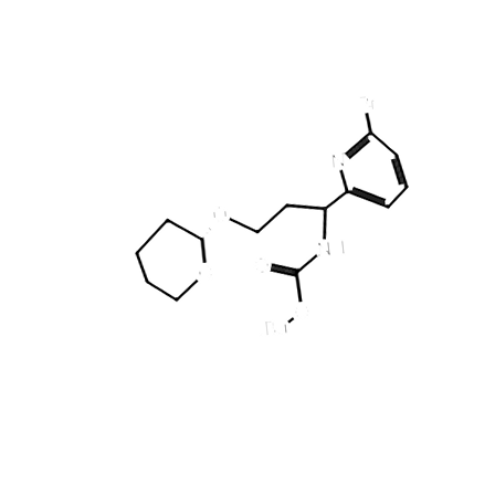 CC(C)(C)OC(=O)NC(CCO[C@H]1CCCCO1)c1cccc(Br)n1